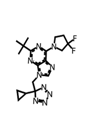 CC(C)(C)c1nc(N2CCC(F)(F)C2)c2ncn(CC3(C4CC4)N=NN=N3)c2n1